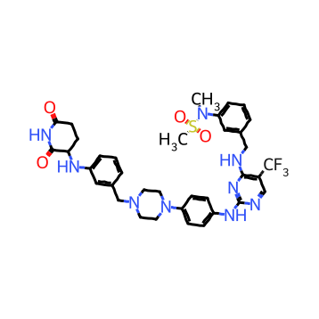 CN(c1cccc(CNc2nc(Nc3ccc(N4CCN(Cc5cccc(NC6CCC(=O)NC6=O)c5)CC4)cc3)ncc2C(F)(F)F)c1)S(C)(=O)=O